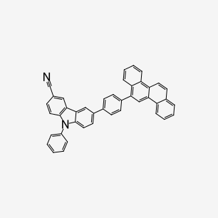 N#Cc1ccc2c(c1)c1cc(-c3ccc(-c4cc5c6ccccc6ccc5c5ccccc45)cc3)ccc1n2-c1ccccc1